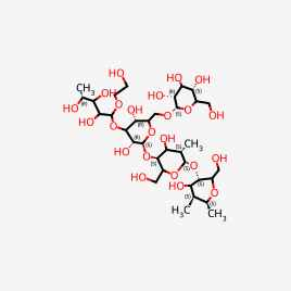 C[C@@H]1OC(CO)[C@@H](O[C@@H]2OC(CO)[C@@H](O[C@@H]3OC(CO[C@H]4OC(CO)[C@@H](O)C(O)[C@H]4O)[C@@H](O)C(OC(OCCO)C(O)C(O)[C@@H](C)O)[C@H]3O)C(O)[C@@H]2C)C(O)[C@@H]1C